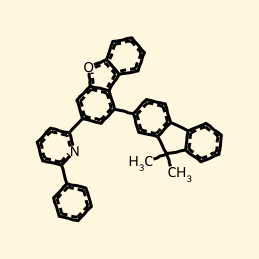 CC1(C)c2ccccc2-c2ccc(-c3cc(-c4cccc(-c5ccccc5)n4)cc4oc5ccccc5c34)cc21